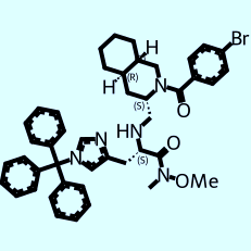 CON(C)C(=O)[C@H](Cc1cn(C(c2ccccc2)(c2ccccc2)c2ccccc2)cn1)NC[C@@H]1C[C@H]2CCCC[C@@H]2CN1C(=O)c1ccc(Br)cc1